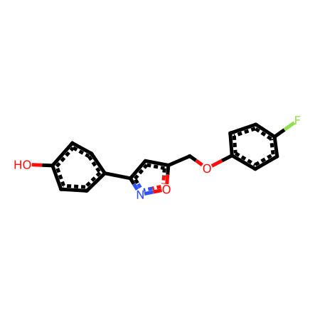 Oc1ccc(-c2cc(COc3ccc(F)cc3)on2)cc1